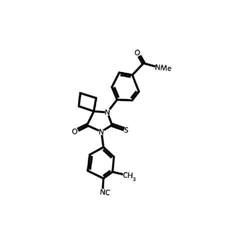 [C-]#[N+]c1ccc(N2C(=O)C3(CCC3)N(c3ccc(C(=O)NC)cc3)C2=S)cc1C